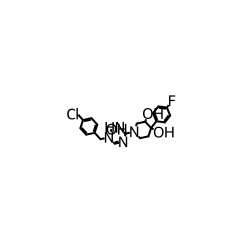 N=C(/N=C\N(O)Cc1ccc(Cl)cc1)N1CCC(O)(c2ccc(F)cc2)C(O)C1